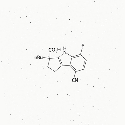 CCCCC1(C(=O)O)CCc2c1[nH]c1c(F)ccc(C#N)c21